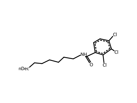 CCCCCCCCCCCCCCCCNC(=O)c1ccc(Cl)c(Cl)c1Cl